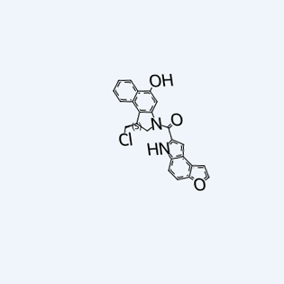 O=C(c1cc2c(ccc3occc32)[nH]1)N1C[C@@H](CCl)c2c1cc(O)c1ccccc21